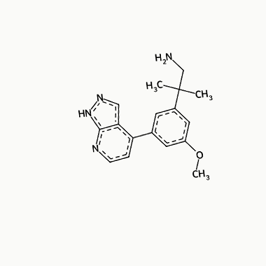 COc1cc(-c2ccnc3[nH]ncc23)cc(C(C)(C)CN)c1